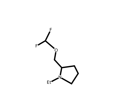 CCN1CCCC1COC(F)F